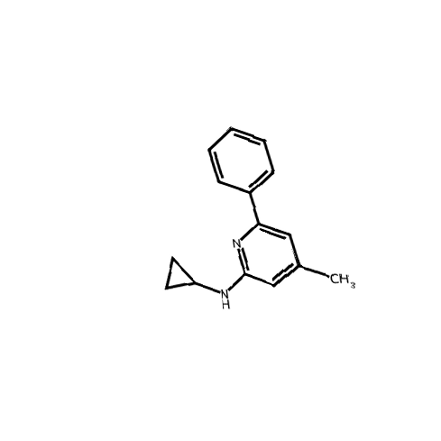 Cc1cc(NC2CC2)nc(-c2ccccc2)c1